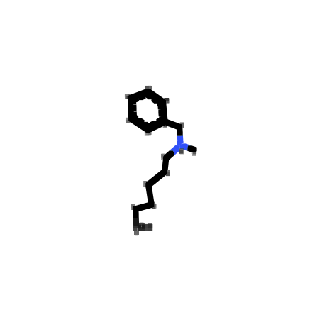 CCCCCCCCCCCCCN(C)Cc1ccccc1